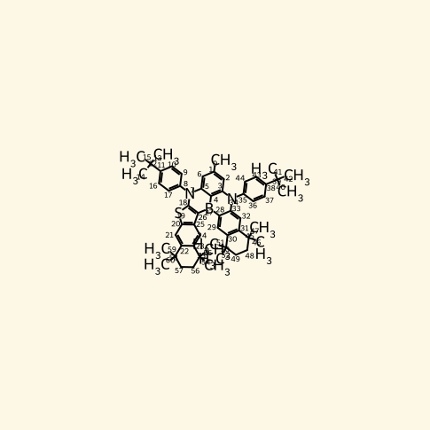 Cc1cc2c3c(c1)N(c1ccc(C(C)(C)C)cc1)c1sc4cc5c(cc4c1B3c1cc3c(cc1N2c1ccc(C(C)(C)C)cc1)C(C)(C)CCC3(C)C)C(C)(C)CCC5(C)C